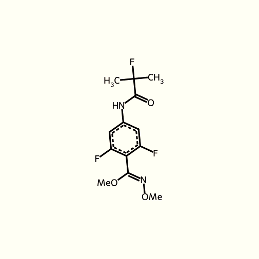 CON=C(OC)c1c(F)cc(NC(=O)C(C)(C)F)cc1F